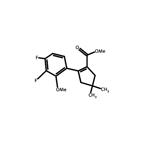 COC(=O)C1=C(c2ccc(F)c(F)c2OC)CC(C)(C)C1